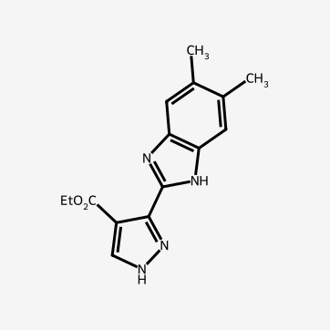 CCOC(=O)c1c[nH]nc1-c1nc2cc(C)c(C)cc2[nH]1